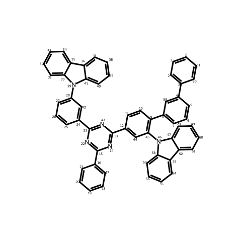 c1ccc(-c2cccc(-c3ccc(-c4nc(-c5ccccc5)nc(-c5cccc(-n6c7ccccc7c7ccccc76)c5)n4)cc3-n3c4ccccc4c4ccccc43)c2)cc1